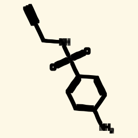 C#CCNS(=O)(=O)c1ccc(N)cc1